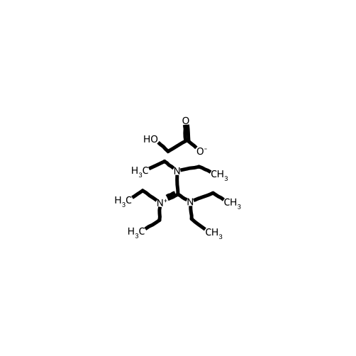 CCN(CC)C(N(CC)CC)=[N+](CC)CC.O=C([O-])CO